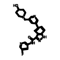 O=C(Nc1cncc(F)c1)c1n[nH]c2ccc(-c3cncc(CN4CCC(O)CC4)c3)cc12